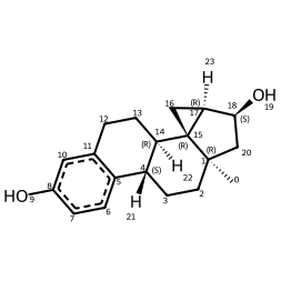 C[C@]12CC[C@@H]3c4ccc(O)cc4CC[C@H]3[C@@]13C[C@H]3[C@@H](O)C2